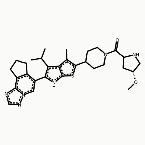 CO[C@H]1CNC(C(=O)N2CCC(c3sc4[nH]c(-c5cn6ncnc6c6c5CCC6)c(C(C)C)c4c3C)CC2)C1